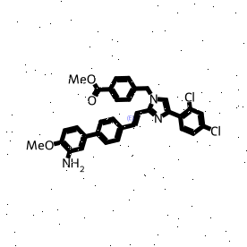 COC(=O)c1ccc(Cn2cc(-c3ccc(Cl)cc3Cl)nc2/C=C/c2ccc(-c3ccc(OC)c(N)c3)cc2)cc1